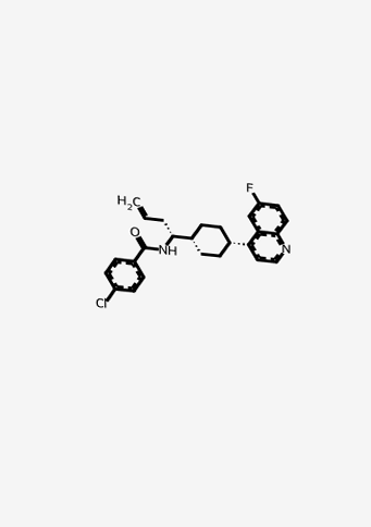 C=CC[C@@H](NC(=O)c1ccc(Cl)cc1)[C@H]1CC[C@@H](c2ccnc3ccc(F)cc32)CC1